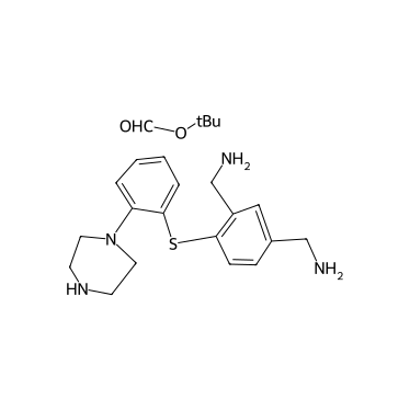 CC(C)(C)OC=O.NCc1ccc(Sc2ccccc2N2CCNCC2)c(CN)c1